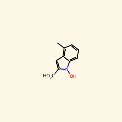 Cc1cccc2c1cc(C(=O)O)n2O